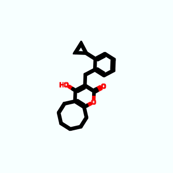 O=c1oc2c(c(O)c1Cc1ccccc1C1CC1)CCCCCC2